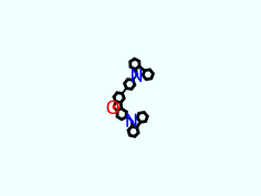 c1ccc2c(c1)c1ccccc1n2-c1ccc(-c2ccc3oc4ccc(-n5c6ccccc6c6ccccc65)cc4c3c2)cc1